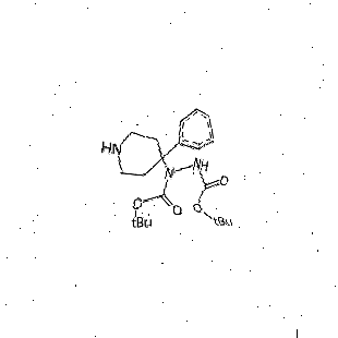 CC(C)(C)OC(=O)NN(C(=O)OC(C)(C)C)C1(c2ccccc2)CCNCC1